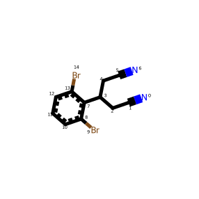 N#CCC(CC#N)c1c(Br)cccc1Br